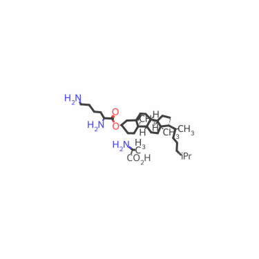 CC(C)CCC[C@@H](C)[C@H]1CC[C@H]2[C@@H]3CC=C4C[C@@H](OC(=O)[C@@H](N)CCCCN)CC[C@]4(C)[C@H]3CC[C@]12C.C[C@H](N)C(=O)O